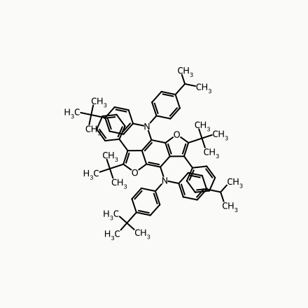 CC(C)c1ccc(N(c2ccc(C(C)(C)C)cc2)c2c3oc(C(C)(C)C)c(-c4ccccc4)c3c(N(c3ccc(C(C)C)cc3)c3ccc(C(C)(C)C)cc3)c3oc(C(C)(C)C)c(-c4ccccc4)c23)cc1